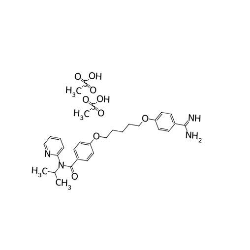 CC(C)N(C(=O)c1ccc(OCCCCCOc2ccc(C(=N)N)cc2)cc1)c1ccccn1.CS(=O)(=O)O.CS(=O)(=O)O